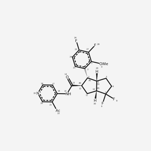 COc1c([C@@H]2[C@@H]3CCC(F)(F)[C@@H]3C[C@H]2C(=O)Nc2ccncc2C(C)=O)ccc(F)c1F